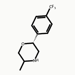 CC1CO[C@H](c2ccc(C(F)(F)F)cc2)CN1